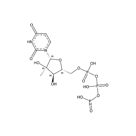 C[C@@]1(O)[C@H](O)[C@@H](COP(=O)(O)OP(=O)(O)O[PH](=O)O)O[C@H]1n1ccc(=O)[nH]c1=O